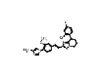 COc1cc(C=Cc2nc3n(n2)CCCC3c2ccc(F)cc2Br)ccc1-n1cnc(C)c1